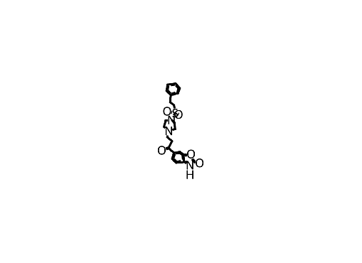 O=C(CCN1CCN(S(=O)(=O)CCc2ccccc2)CC1)c1ccc2[nH]c(=O)oc2c1